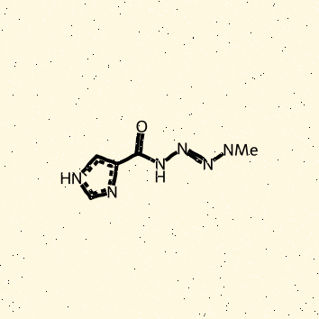 CNN=NNC(=O)c1c[nH]cn1